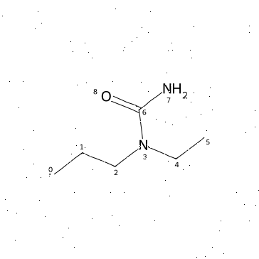 [CH2]CCN(CC)C(N)=O